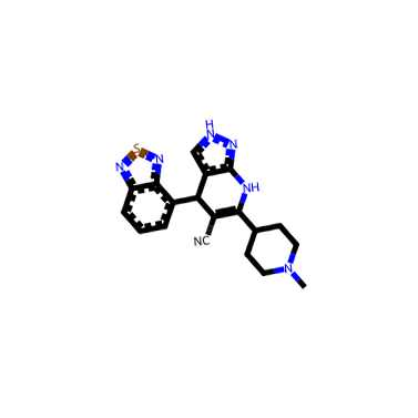 CN1CCC(C2=C(C#N)C(c3cccc4nsnc34)c3c[nH]nc3N2)CC1